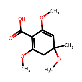 COC1=CC(C)(OC)CC(OC)=C1C(=O)O